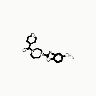 Cc1ccc2oc(N3CCCN(C(=O)C4CCOCC4)CC3)nc2c1